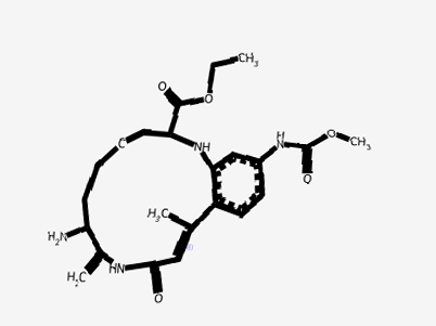 C=C1NC(=O)/C=C(\C)c2ccc(NC(=O)OC)cc2NC(C(=O)OCC)CCCCC1N